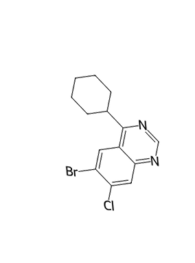 Clc1cc2ncnc(C3CCCCC3)c2cc1Br